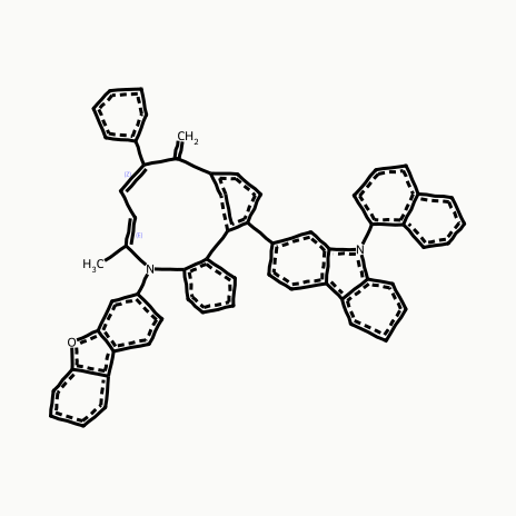 C=C1/C(c2ccccc2)=C\C=C(/C)N(c2ccc3c(c2)oc2ccccc23)c2ccccc2-c2cc1ccc2-c1ccc2c3ccccc3n(-c3cccc4ccccc34)c2c1